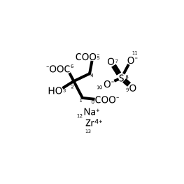 O=C([O-])CC(O)(CC(=O)[O-])C(=O)[O-].O=S(=O)([O-])[O-].[Na+].[Zr+4]